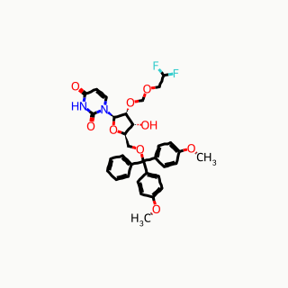 COc1ccc(C(OC[C@H]2O[C@@H](n3ccc(=O)[nH]c3=O)[C@H](OCOCC(F)F)[C@@H]2O)(c2ccccc2)c2ccc(OC)cc2)cc1